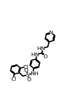 O=C(NCc1ccncc1)Nc1ccc(NS(=O)(=O)Cc2c(Cl)cccc2Cl)cc1